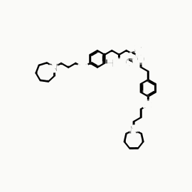 O=S(=O)(CC(O)Cc1ccc(OCCCN2CCCCCC2)cc1)OCCc1ccc(OCCCN2CCCCCC2)cc1